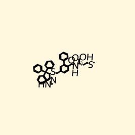 CSCC[C@H](NC(=O)c1ccc(CSC(c2c[nH]cn2)C(c2ccccc2)(c2ccccc2)c2ccccc2)cc1-c1ccccc1)C(=O)O